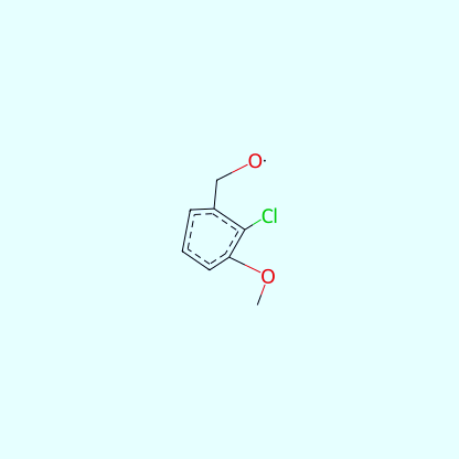 COc1cccc(C[O])c1Cl